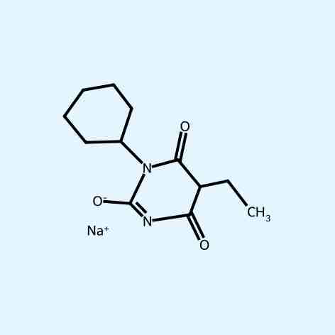 CCC1C(=O)N=C([O-])N(C2CCCCC2)C1=O.[Na+]